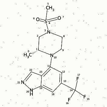 C[C@@H]1CN(S(C)(=O)=O)CCN1c1cc(C(F)(F)F)cc2[nH]ncc12